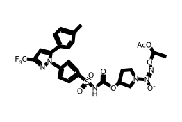 CC(=O)OC(C)O/N=[N+](/[O-])N1CCC(OC(=O)NS(=O)(=O)c2ccc(-n3nc(C(F)(F)F)cc3-c3ccc(C)cc3)cc2)C1